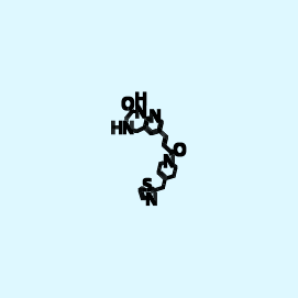 O=C1CNCc2cc(C=CC(=O)N3CC=C(Cc4nccs4)CC3)cnc2N1